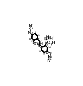 [N-]=[N+]=Nc1ccc(C=Cc2ccc(N=[N+]=[N-])cc2S(=O)(=O)O)c(S(=O)(=O)O)c1.[NaH].[NaH]